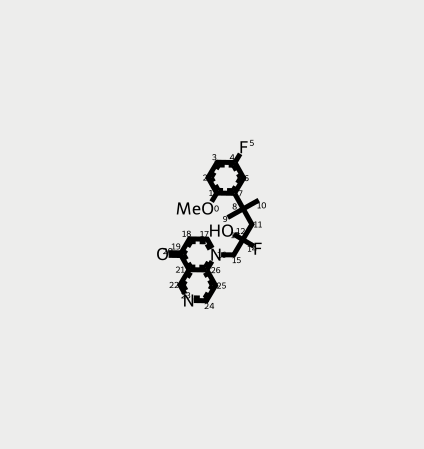 COc1ccc(F)cc1C(C)(C)CC(O)(F)Cn1ccc(=O)c2cnccc21